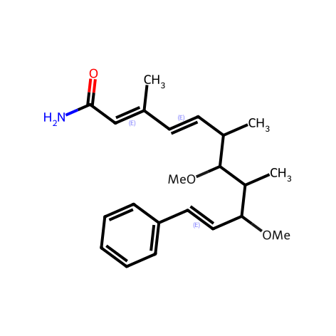 COC(/C=C/c1ccccc1)C(C)C(OC)C(C)/C=C/C(C)=C/C(N)=O